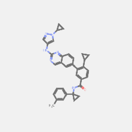 Cc1cccc(C2(NC(=O)c3ccc(C4CC4)c(-c4ccc5nc(Nc6cnn(C7CC7)c6)ncc5c4)c3)CC2)c1